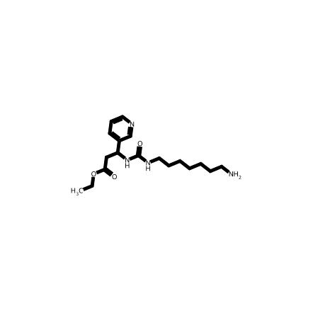 CCOC(=O)CC(NC(=O)NCCCCCCCN)c1cccnc1